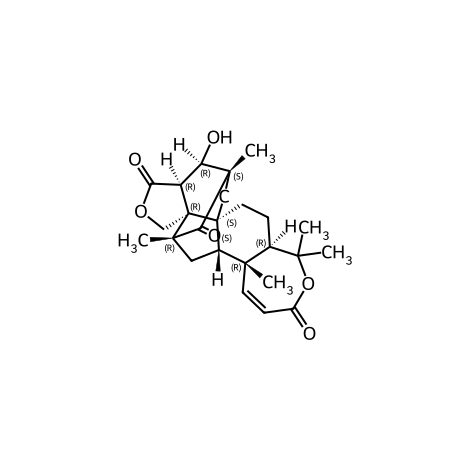 CC1(C)OC(=O)C=C[C@@]2(C)[C@H]1CC[C@]13C[C@]4(C)C(=O)[C@](C)(C[C@@H]21)[C@]31COC(=O)[C@H]1[C@H]4O